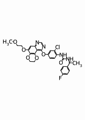 COCCOc1cc2ncnc(Oc3ccc(NC(=O)N[C@H](C)c4ccc(F)cc4)c(Cl)c3)c2c2c1OCCO2